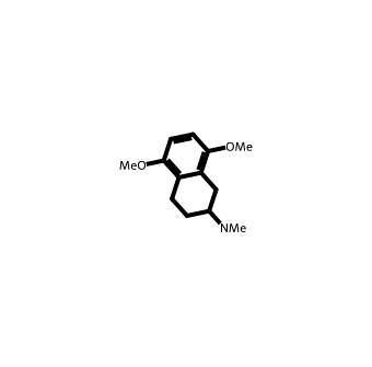 CNC1CCc2c(OC)ccc(OC)c2C1